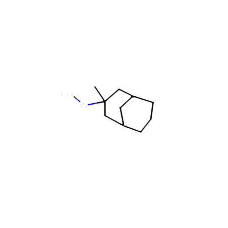 CC(C)(C)NC1(C)CC2CCCC(C2)C1